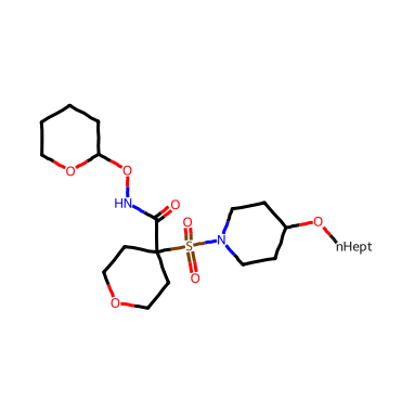 CCCCCCCOC1CCN(S(=O)(=O)C2(C(=O)NOC3CCCCO3)CCOCC2)CC1